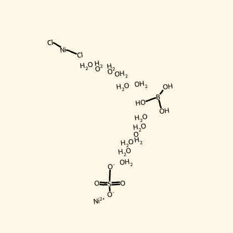 O.O.O.O.O.O.O.O.O.O.O.O.O=S(=O)([O-])[O-].OB(O)O.[Cl][Ni][Cl].[Ni+2]